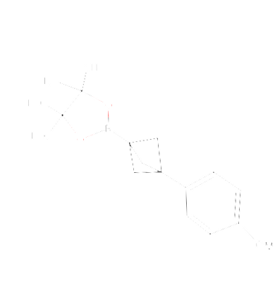 COc1ccc(C23CC(B4OC(C)(C)C(C)(C)O4)(C2)C3)cc1